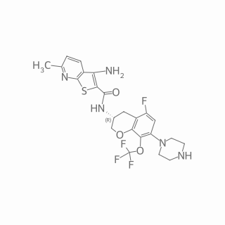 Cc1ccc2c(N)c(C(=O)N[C@H]3COc4c(c(F)cc(N5CCNCC5)c4OC(F)(F)F)C3)sc2n1